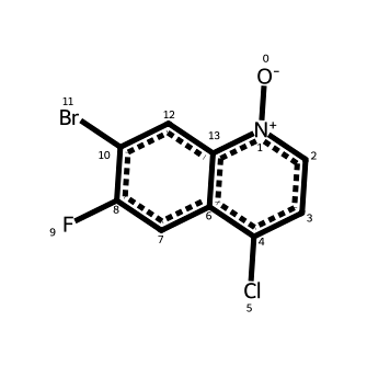 [O-][n+]1ccc(Cl)c2cc(F)c(Br)cc21